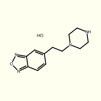 Cl.c1cc2nonc2cc1CCN1CCNCC1